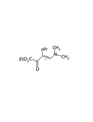 CCC/C(=C\N(C)C)C(=O)C(=O)OCC